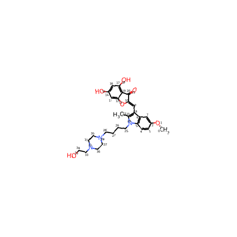 COc1ccc2c(c1)c(/C=C1\Oc3cc(O)cc(O)c3C1=O)c(C)n2CCCCN1CCN(CCO)CC1